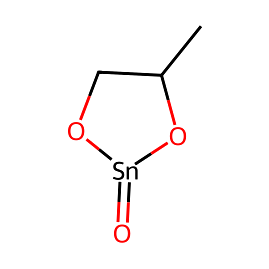 CC1C[O][Sn](=[O])[O]1